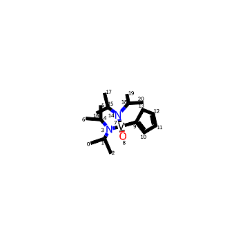 CC(C)[N](C(C)C)[V](=[O])([C]1=CC=CC1)[N](C(C)C)C(C)C